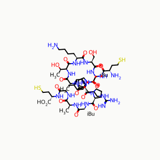 CC[C@H](C)[C@H](NC(=O)[C@@H]1CCCN1C(=O)[C@@H]1CCCN1C(=O)[C@@H](NC(=O)[C@H](CO)NC(=O)[C@H](CCCCN)NC(=O)[C@@H](NC(=O)[C@H](C)NC(=O)[C@H](CCCNC(=N)N)NC(=O)CNC(=O)[C@@H](N)CCS)[C@@H](C)O)[C@@H](C)CC)C(=O)N[C@@H](C)C(=O)N[C@@H](Cc1ccccc1)C(=O)N[C@@H](CCS)C(=O)O